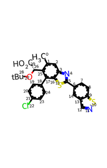 Cc1cc2nc(-c3ccc4sncc4c3)sc2c(-c2ccc(Cl)cc2)c1[C@H](OC(C)(C)C)C(=O)O